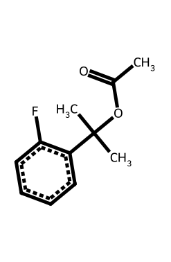 CC(=O)OC(C)(C)c1ccccc1F